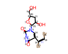 O=c1[nH]c(=O)n([C@H]2O[C@@H](CO)CC2O)cc1/C(Br)=C\Br